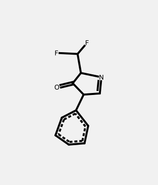 O=C1C(c2ccccc2)C=NC1C(F)F